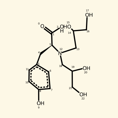 O=C(O)[C@H](Cc1ccc(O)cc1)N(CC(O)CO)CC(O)CO